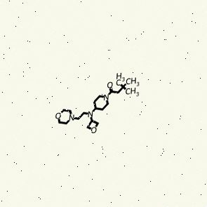 CC(C)(C)CC(=O)N1CCC(N(CCN2CCOCC2)C2COC2)CC1